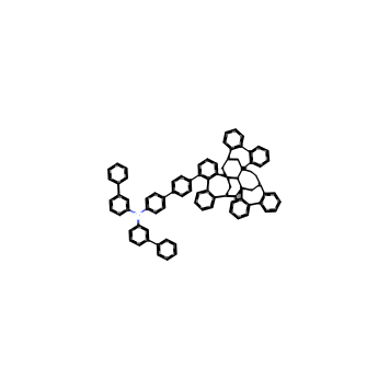 c1ccc(-c2cccc(N(c3ccc(-c4ccc(-c5cccc6c5-c5ccccc5C5CC78CC(CCC9%10CC(CC6(C5)C97)c5ccccc5-c5ccccc5%10)c5ccccc5-c5ccccc58)cc4)cc3)c3cccc(-c4ccccc4)c3)c2)cc1